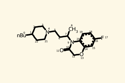 CCCCC1CCN(CCC(C)N2C(=O)COc3cc(F)ccc32)CC1